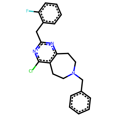 Fc1ccccc1Cc1nc(Cl)c2c(n1)CCN(Cc1ccccc1)CC2